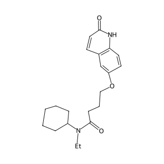 CCN(C(=O)CCCOc1ccc2[nH]c(=O)ccc2c1)C1CCCCC1